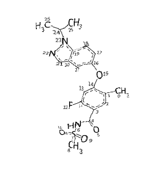 Cc1cc(C(=O)NS(C)(=O)=O)c(F)cc1Oc1ccc2c(cnn2C(C)C)c1